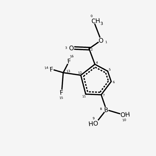 COC(=O)c1ccc(B(O)O)cc1C(F)(F)F